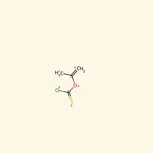 C=C(C)OC(=S)Cl